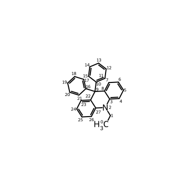 CCN1c2ccccc2C(c2ccccc2)(c2ccccc2)c2ccccc21